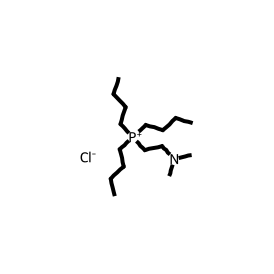 CCCC[P+](CCCC)(CCCC)CCN(C)C.[Cl-]